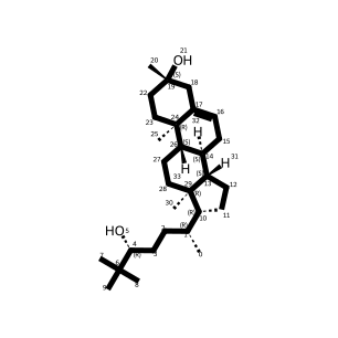 C[C@H](CC[C@@H](O)C(C)(C)C)[C@H]1CC[C@H]2[C@@H]3CC=C4C[C@@](C)(O)CC[C@]4(C)[C@H]3CC[C@]12C